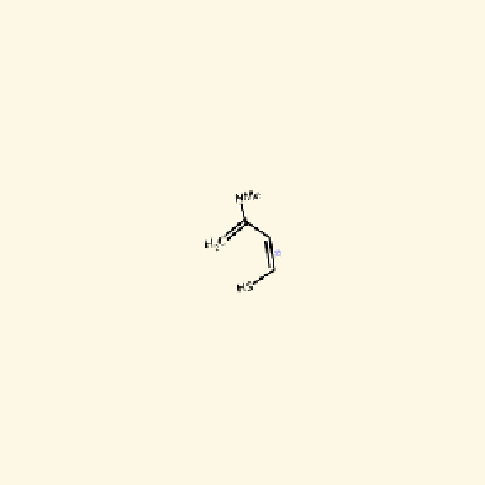 C=C(/C=C\S)NC